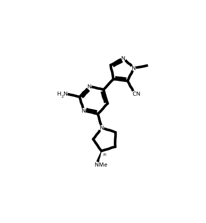 CN[C@@H]1CCN(c2cc(-c3cnn(C)c3C#N)nc(N)n2)C1